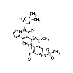 CO/N=C(\Nc1ccc(NS(C)(=O)=O)cc1C=O)c1c(C)c2cccn2n(CCC(C)(C)C)c1=O